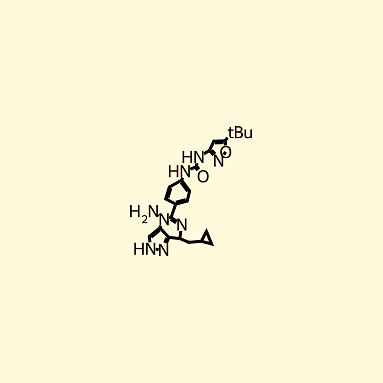 CC(C)(C)c1cc(NC(=O)Nc2ccc(C3=NC(CC4CC4)c4n[nH]cc4N3N)cc2)no1